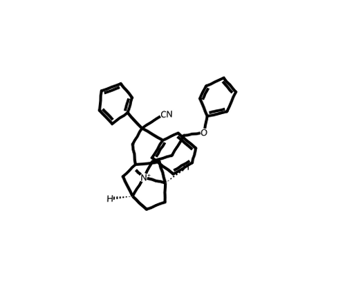 C[N+]1(CCCOc2ccccc2)[C@@H]2CC[C@H]1CC(CC(C#N)(c1ccccc1)c1ccccc1)C2